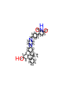 CCC(=C(c1ccc(O)cc1)c1ccc(N2CCN(Cc3ccc(C4CCC(=O)NC4=O)cc3)CC2)cc1)c1ccccc1